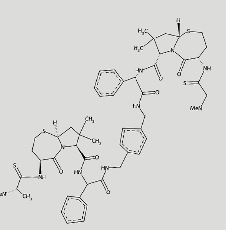 CNCC(=S)N[C@H]1CCS[C@H]2CC(C)(C)[C@@H](C(=O)N[C@H](C(=O)NCc3ccc(CNC(=O)C(NC(=O)[C@H]4N5C(=O)[C@@H](NC(=S)[C@H](C)NC)CCS[C@H]5CC4(C)C)c4ccccc4)cc3)c3ccccc3)N2C1=O